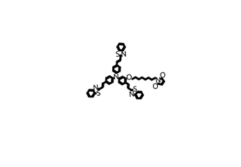 O=C1C=CC(=O)N1CCCCCCCCOc1cc(N(c2ccc(/C=C/c3nc4ccccc4s3)cc2)c2ccc(/C=C/c3nc4ccccc4s3)cc2)ccc1/C=C/c1nc2ccccc2s1